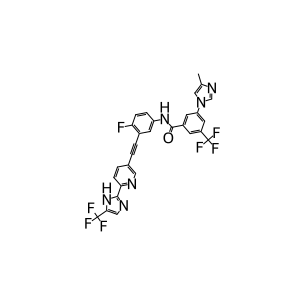 Cc1cn(-c2cc(C(=O)Nc3ccc(F)c(C#Cc4ccc(-c5ncc(C(F)(F)F)[nH]5)nc4)c3)cc(C(F)(F)F)c2)cn1